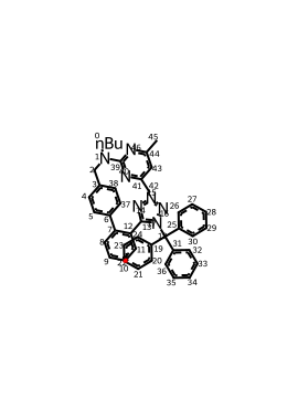 CCCCN(Cc1ccc(-c2ccccc2-c2nnnn2C(c2ccccc2)(c2ccccc2)c2ccccc2)cc1)c1nc(C)cc(C)n1